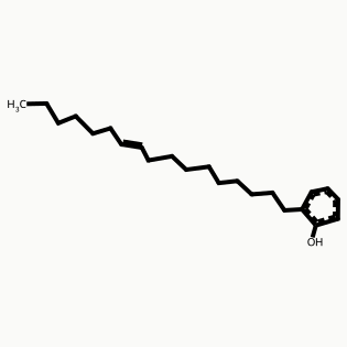 CCCCCCC=CCCCCCCCCCc1ccccc1O